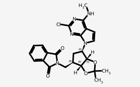 CNc1nc(Cl)nc2c1ccn2[C@@H]1C[C@H](CN2C(=O)c3ccccc3C2=O)[C@H]2OC(C)(C)O[C@H]21